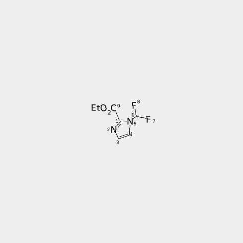 CCOC(=O)c1nccn1C(F)F